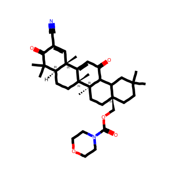 CC1(C)CC[C@]2(COC(=O)N3CCOCC3)CC[C@]3(C)C(C(=O)C=C4[C@@]5(C)C=C(C#N)C(=O)C(C)(C)[C@@H]5CC[C@]43C)C2C1